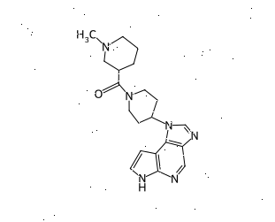 CN1CCCC(C(=O)N2CCC(n3cnc4cnc5[nH]ccc5c43)CC2)C1